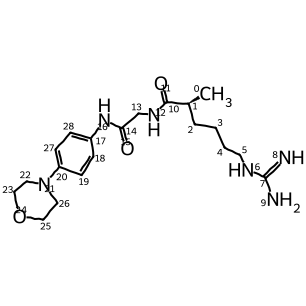 C[C@@H](CCCCNC(=N)N)C(=O)NCC(=O)Nc1ccc(N2CCOCC2)cc1